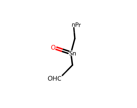 CCC[CH2][Sn](=[O])[CH2]C=O